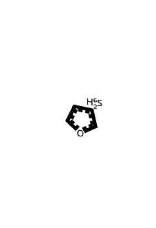 [6SH2].c1ccoc1